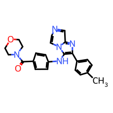 Cc1ccc(-c2nc3cnccn3c2Nc2ccc(C(=O)N3CCOCC3)cc2)cc1